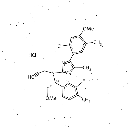 C#CCN(c1nc(-c2cc(C)c(OC)cc2Cl)c(C)s1)[C@@H](COC)c1ccc(C)c(F)c1.Cl